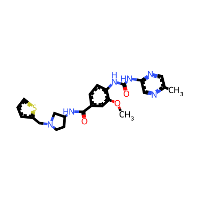 COc1cc(C(=O)NC2CCN(Cc3cccs3)C2)ccc1NC(=O)Nc1cnc(C)cn1